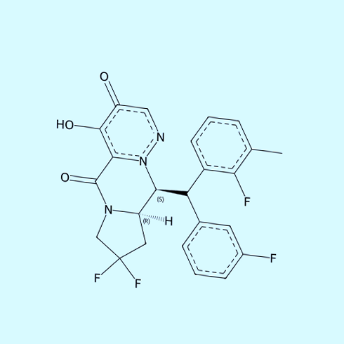 Cc1cccc(C(c2cccc(F)c2)[C@H]2[C@H]3CC(F)(F)CN3C(=O)c3c(O)c(=O)cnn32)c1F